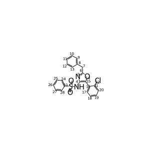 O=S(=O)(Nc1nc(Cc2ccccc2)oc1-c1ccccc1Cl)c1ccccc1